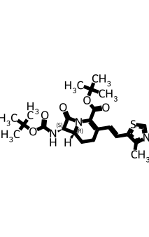 Cc1ncsc1C=CC1=C(C(=O)OC(C)(C)C)N2C(=O)[C@@H](NC(=O)OC(C)(C)C)[C@H]2CC1